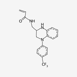 C=CC(=O)NCC1CN(c2ccc(C(F)(F)F)cc2)c2ccccc2N1